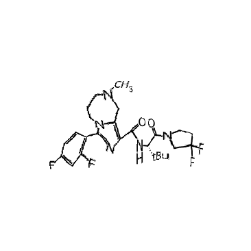 CN1CCCn2c(-c3ccc(F)cc3F)nc(C(=O)N[C@H](C(=O)N3CCC(F)(F)C3)C(C)(C)C)c2C1